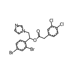 O=C(Cc1ccc(Cl)c(Cl)c1)OC(Cn1ccnc1)c1ccc(Br)cc1Br